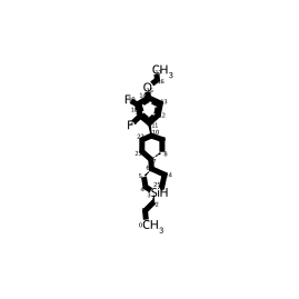 CCC[Si@H]1CC[C@H]([C@H]2CC[C@H](c3ccc(OCC)c(F)c3F)CC2)CC1